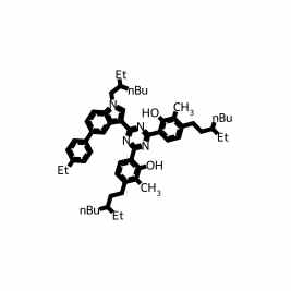 CCCCC(CC)CCc1ccc(-c2nc(-c3ccc(CCC(CC)CCCC)c(C)c3O)nc(-c3cn(CC(CC)CCCC)c4ccc(-c5ccc(CC)cc5)cc34)n2)c(O)c1C